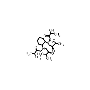 CC(C)C(=O)CN(CC(=O)C(C)C)C1CCCCC1N(CC(=O)C(C)C)CC(=O)C(C)C